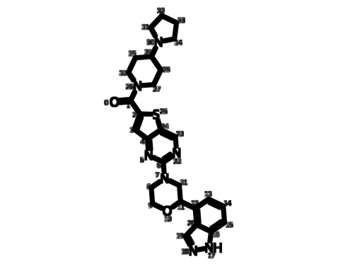 O=C(c1cc2nc(N3CCOC(c4cccc5[nH]ncc45)C3)ncc2s1)N1CCC(N2CCCC2)CC1